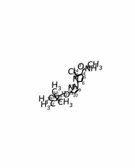 CNC(=O)c1ccc(-n2ccc(OCC3C(C)(C)C3(C)C)n2)nc1Cl